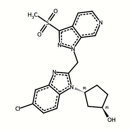 CS(=O)(=O)c1nn(Cc2nc3cc(Cl)ccc3n2[C@@H]2CC[C@@H](O)C2)c2cnccc12